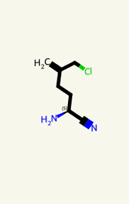 C=C(CCl)CC[C@H](N)C#N